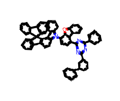 c1ccc(-c2cccc(-c3nc(-c4ccccc4)nc(-c4ccc(-n5c6ccccc6c6c7c(ccc65)-c5ccccc5C75c6ccccc6-c6ccccc65)c5oc6ccccc6c45)n3)c2)cc1